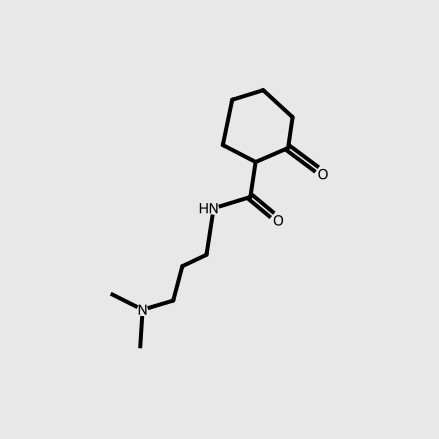 CN(C)CCCNC(=O)C1CCCCC1=O